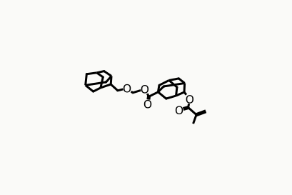 C=C(C)C(=O)OC1C2CC3CC1CC(C(=O)OCOCC1C4CC5CC(C4)CC1C5)(C3)C2